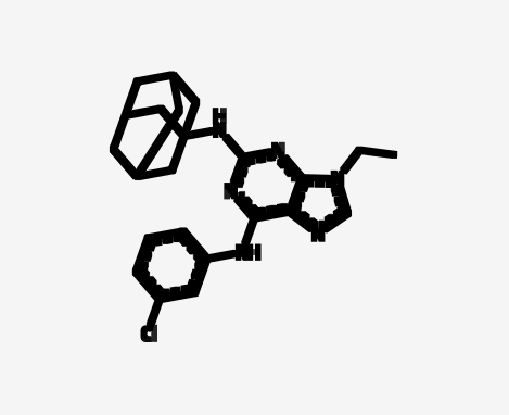 CCn1cnc2c(Nc3cccc(Cl)c3)nc(NC34CC5CC(CC(C5)C3)C4)nc21